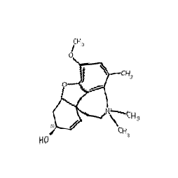 COc1cc(C)c2c3c1OC1C[C@H](O)C=CC31CC[N+](C)(C)C2